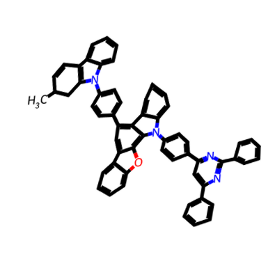 CC1C=Cc2c(n(-c3ccc(-c4cc5c6ccccc6oc5c5c4c4ccccc4n5-c4ccc(-c5cc(-c6ccccc6)nc(-c6ccccc6)n5)cc4)cc3)c3ccccc23)C1